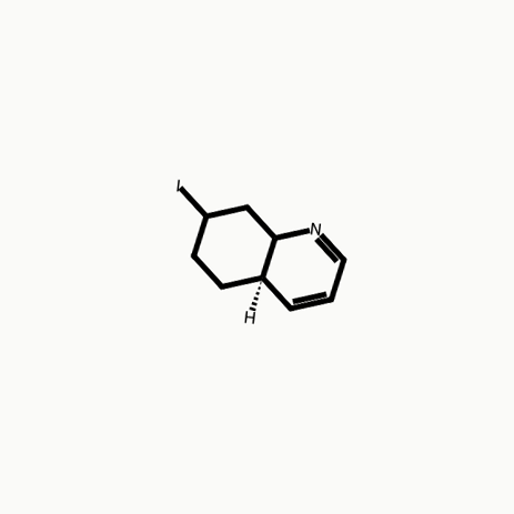 IC1CC[C@@H]2C=CC=NC2C1